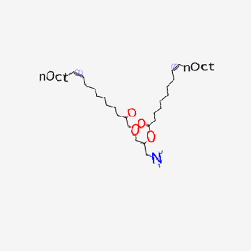 CCCCCCCC/C=C\CCCCCCCC(=O)COCC(CN(C)C)OC(=O)CCCCCCC/C=C\CCCCCCCC